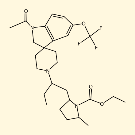 CCOC(=O)N1C(C)CCC1CC(CC)N1CCC2(CC1)CN(C(C)=O)c1ccc(OC(F)(F)F)cc12